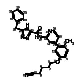 Cc1ccc(OCCCCC#N)cc1-c1ccnc(NC(=O)c2nnc(Cc3ccccc3)[nH]2)c1